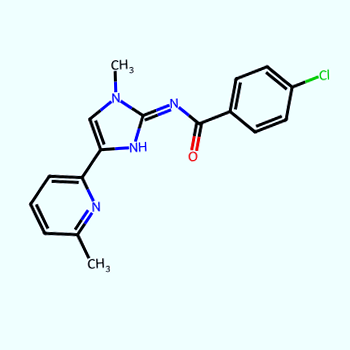 Cc1cccc(-c2cn(C)/c(=N/C(=O)c3ccc(Cl)cc3)[nH]2)n1